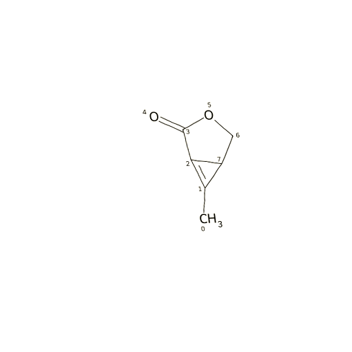 CC1=C2C(=O)OCC12